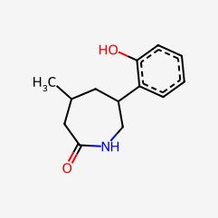 CC1CC(=O)NCC(c2ccccc2O)C1